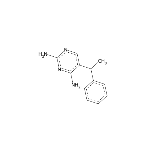 CC(c1ccccc1)c1cnc(N)nc1N